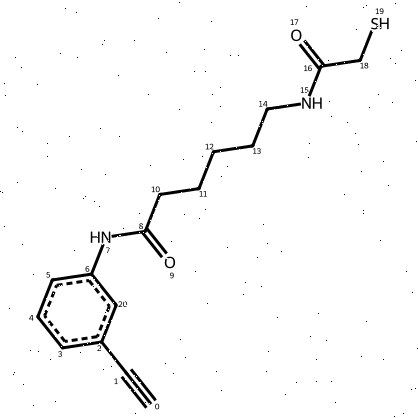 C#Cc1cccc(NC(=O)CCCCCNC(=O)CS)c1